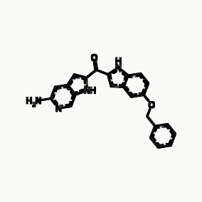 Nc1cc2cc(C(=O)c3cc4cc(OCc5ccccc5)ccc4[nH]3)[nH]c2cn1